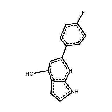 Oc1cc(-c2ccc(F)cc2)nc2[nH]ccc12